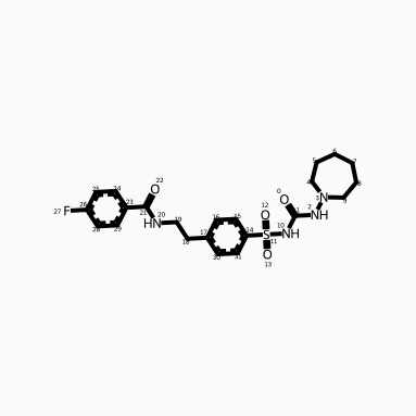 O=C(NN1CCCCCC1)NS(=O)(=O)c1ccc(CCNC(=O)c2ccc(F)cc2)cc1